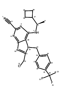 C[C@@H](Nc1nc(C#N)nc2nc(CCl)n(Cc3ccc(C(F)(F)F)cc3)c12)C1CCC1